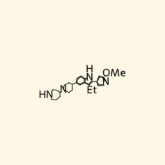 CCc1c(-c2ccnc(OC)c2)[nH]c2ccc(C3CCN(C4CCCNCC4)CC3)cc12